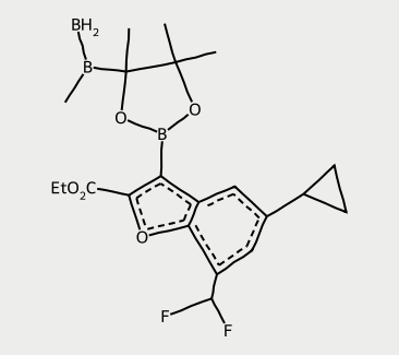 BB(C)C1(C)OB(c2c(C(=O)OCC)oc3c(C(F)F)cc(C4CC4)cc23)OC1(C)C